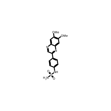 COc1cc2ncc(-c3ccc(NS(N)(=O)=O)cc3)nc2cc1OC